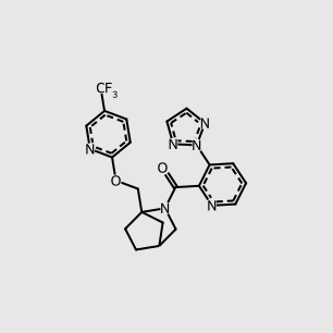 O=C(c1ncccc1-n1nccn1)N1CC2CCC1(COc1ccc(C(F)(F)F)cn1)C2